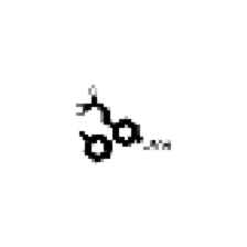 COc1ccc(/C=C/C(=O)Cl)cc1.Cc1ccccc1